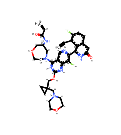 C#Cc1c(F)ccc2cc(=O)[nH]c(-c3ncc4c(N5CCOCC(NC(=O)C=C)C5)nc(OCC5(CN6CCOCC6)CC5)nc4c3F)c12